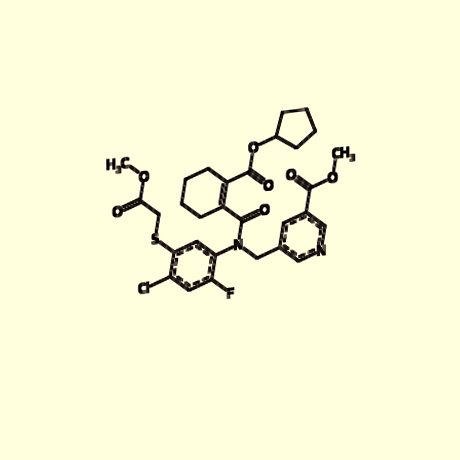 COC(=O)CSc1cc(N(Cc2cncc(C(=O)OC)c2)C(=O)C2=C(C(=O)OC3CCCC3)CCCC2)c(F)cc1Cl